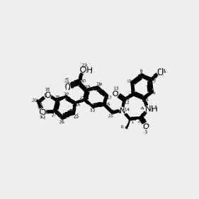 C[C@@H]1C(=O)Nc2cc(Cl)ccc2C(=O)N1Cc1ccc(C(=O)O)c(-c2ccc3c(c2)OCO3)c1